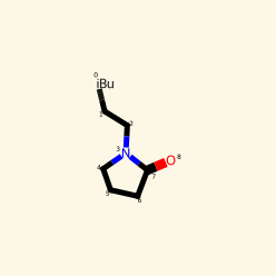 CCC(C)CCN1CCCC1=O